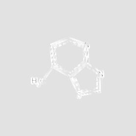 Cc1ccnc2ncsc12